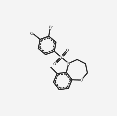 Cc1cccc2c1N(S(=O)(=O)c1ccc(Cl)c(Br)c1)CCCO2